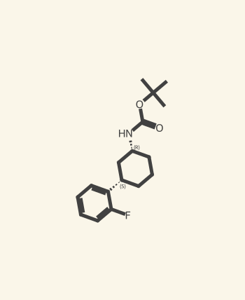 CC(C)(C)OC(=O)N[C@@H]1CCC[C@H](c2ccccc2F)C1